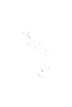 C=C(CC)O/N=C(\C)C(=O)c1ccc(Sc2ccc(C(=O)/C(CCC3CCCC3)=N/OC(=O)CC)cc2)cc1